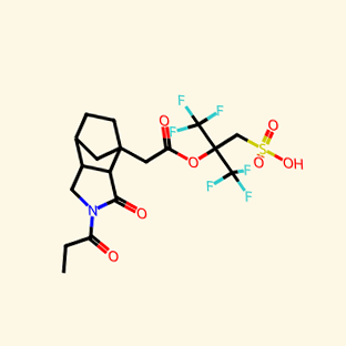 CCC(=O)N1CC2C3CCC(CC(=O)OC(CS(=O)(=O)O)(C(F)(F)F)C(F)(F)F)(C3)C2C1=O